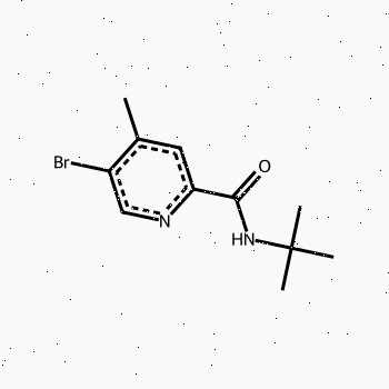 Cc1cc(C(=O)NC(C)(C)C)ncc1Br